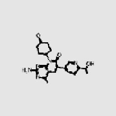 Cc1nc(N)nc2c1cc(-c1ccc(C(C)O)nc1)c(=O)n2C1CCC(=O)CC1